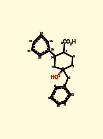 O=C(O)C1CCC(O)(Cc2ccccc2)CC1c1ccccc1